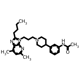 CCCCc1nc2c(C)cc(C)nc2n1CCCN1CCC(c2cccc(NC(C)=O)c2)CC1